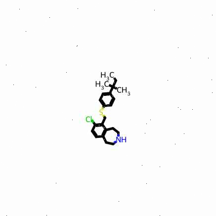 CCC(C)(C)c1ccc(SCc2c(Cl)ccc3c2CCNCC3)cc1